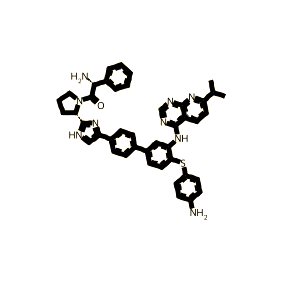 CC(C)c1ccc2c(Nc3cc(-c4ccc(-c5c[nH]c([C@@H]6CCCN6C(=O)[C@H](N)c6ccccc6)n5)cc4)ccc3Sc3ccc(N)cc3)ncnc2n1